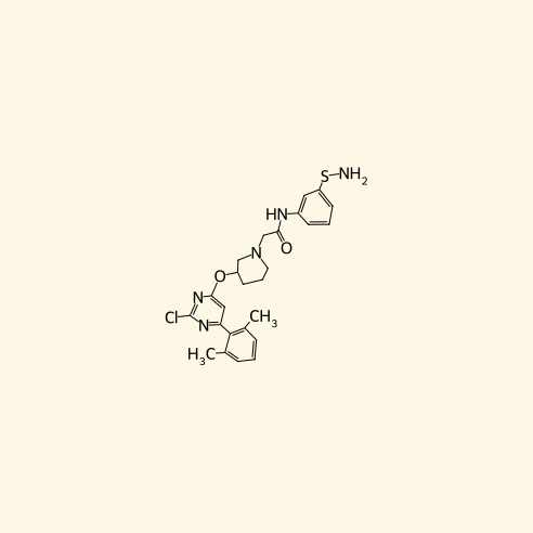 Cc1cccc(C)c1-c1cc(OC2CCCN(CC(=O)Nc3cccc(SN)c3)C2)nc(Cl)n1